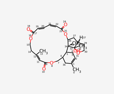 CC1=CC(O)C2C(COC(=O)/C=C(\C)CCOC(=O)/C=C/C=C\C(=O)OC3C[C@@H]4CCOC4(C)[C@@]32C)C1